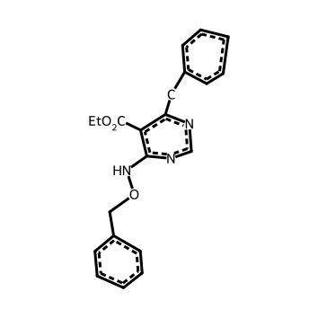 CCOC(=O)c1c(Cc2ccccc2)ncnc1NOCc1ccccc1